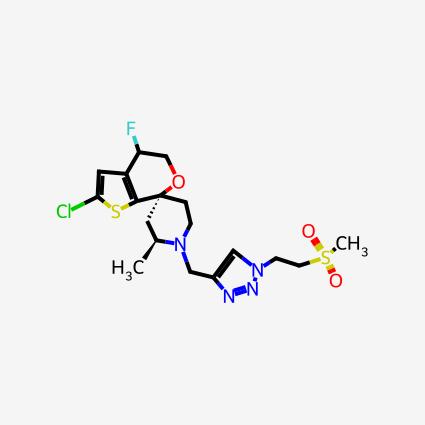 C[C@H]1C[C@@]2(CCN1Cc1cn(CCS(C)(=O)=O)nn1)OCC(F)c1cc(Cl)sc12